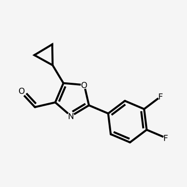 O=Cc1nc(-c2ccc(F)c(F)c2)oc1C1CC1